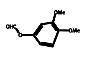 COc1ccc(OC=O)cc1OC